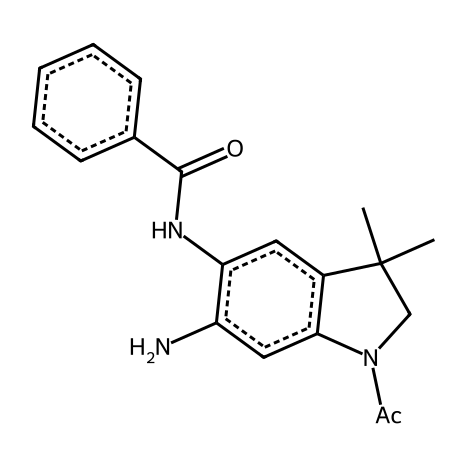 CC(=O)N1CC(C)(C)c2cc(NC(=O)c3ccccc3)c(N)cc21